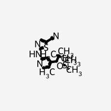 Cc1cnc(Nc2ncc(C#N)s2)cc1C(O[SiH](C)C)C(C)(C)C